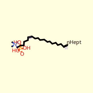 CCCCCCC/C=C\CCCCCCCCCC/C=C\CCCC(O)(C[N+](C)(C)C)P(=O)(O)O